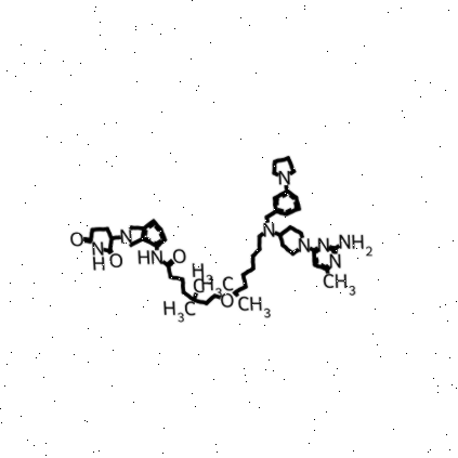 Cc1cc(N2CCC(N(CCCCCCC(C)(C)OCCC(C)(C)CCCC(=O)Nc3cccc4c3CN(C3CCC(=O)NC3=O)C4)Cc3cccc(N4CCCC4)c3)CC2)nc(N)n1